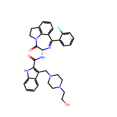 O=C(N[C@H]1N=C(c2ccccc2F)c2cccc3c2N(CC3)C1=O)c1[nH]c2ccccc2c1CN1CCN(CCO)CC1